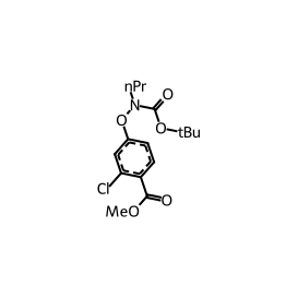 CCCN(Oc1ccc(C(=O)OC)c(Cl)c1)C(=O)OC(C)(C)C